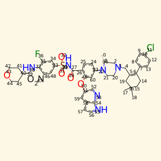 C[C@@H]1CN(CC2=C(c3ccc(Cl)cc3)CCC(C)(C)C2)CCN1c1ccc(C(=O)NS(=O)(=O)c2cc(F)c(NCC3CCOCC3)c([N+](=O)[O-])c2)c(Oc2cnc3[nH]ccc3c2)c1